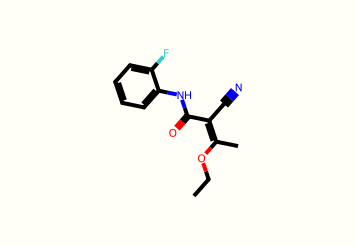 CCO/C(C)=C(/C#N)C(=O)Nc1ccccc1F